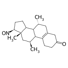 C[C@@H]1CC2=C(CCC(=O)C2)C2C1C1CC[C@H](N=O)[C@@]1(C)C[C@@H]2C